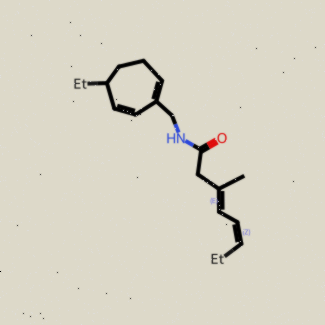 CC/C=C\C=C(/C)CC(=O)NCC1=CCCC(CC)C=C1